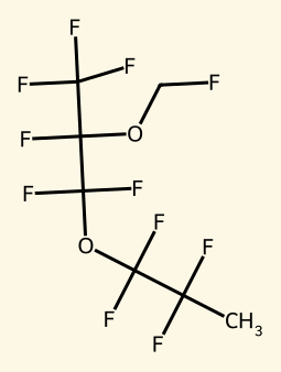 CC(F)(F)C(F)(F)OC(F)(F)C(F)(OCF)C(F)(F)F